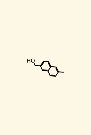 Cc1ccc2cc(CO)ccc2c1